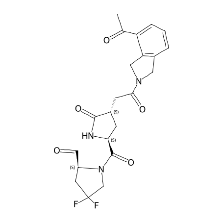 CC(=O)c1cccc2c1CN(C(=O)C[C@@H]1C[C@@H](C(=O)N3CC(F)(F)C[C@H]3C=O)NC1=O)C2